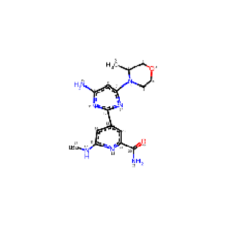 CC1COCCN1c1cc(N)nc(-c2cc(NC(C)(C)C)nc(C(N)=O)c2)n1